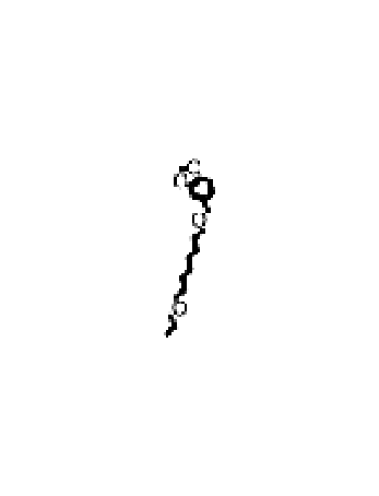 CCCOCCCCCCCCOCc1ccc2c(c1)OCO2